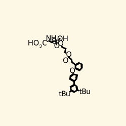 CC(C)(C)c1cc(-c2ccc(Oc3ccccc3CCC(=O)OCCCOP(=O)(O)OC[C@H](N)C(=O)O)cc2)cc(C(C)(C)C)c1